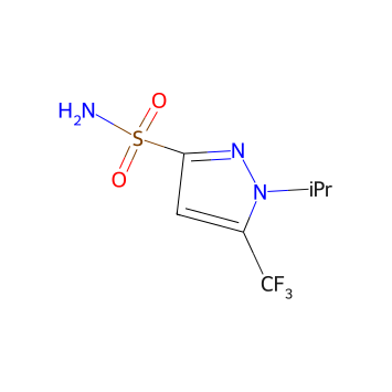 CC(C)n1nc(S(N)(=O)=O)cc1C(F)(F)F